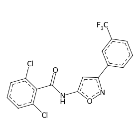 O=C(Nc1cc(-c2cccc(C(F)(F)F)c2)no1)c1c(Cl)cccc1Cl